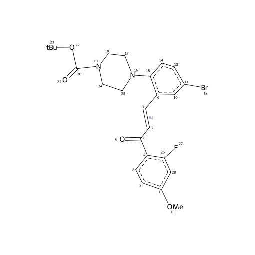 COc1ccc(C(=O)/C=C/c2cc(Br)ccc2N2CCN(C(=O)OC(C)(C)C)CC2)c(F)c1